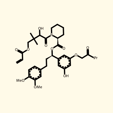 C=CC(=O)OCC(C)(C)C(O)C(=O)N1CCCC[C@H]1C(=O)O[C@H](CCc1ccc(OC)c(OC)c1)c1cc(O)cc(OCC(=O)C(C)C)c1